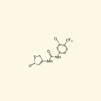 O=C(NC1=CC(=O)SC1)Nc1ccc(C(F)(F)F)c(Cl)c1